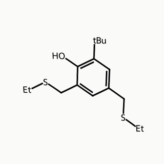 CCSCc1cc(CSCC)c(O)c(C(C)(C)C)c1